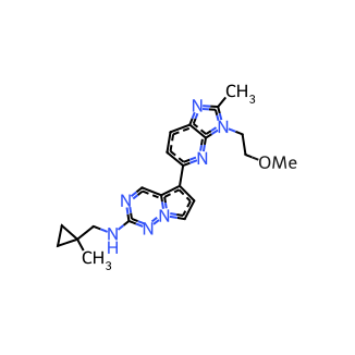 COCCn1c(C)nc2ccc(-c3ccn4nc(NCC5(C)CC5)ncc34)nc21